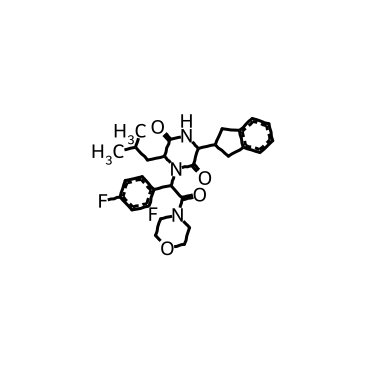 CC(C)CC1C(=O)NC(C2Cc3ccccc3C2)C(=O)N1C(C(=O)N1CCOCC1)c1ccc(F)cc1F